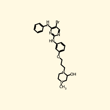 CN1CCN(CCCOc2cccc(Nc3ncc(Br)c(Nc4ccccc4)n3)c2)C(O)C1